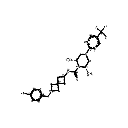 C[C@@H]1CN(c2ncc(C(F)(F)F)cn2)C[C@H](C)N1C(=O)OC1CC2(C1)CN(Cc1ccc(F)cc1)C2